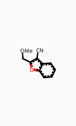 CO[CH]c1oc2ccccc2c1C#N